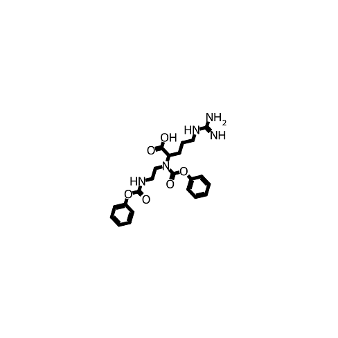 N=C(N)NCCCC(C(=O)O)N(CCNC(=O)Oc1ccccc1)C(=O)Oc1ccccc1